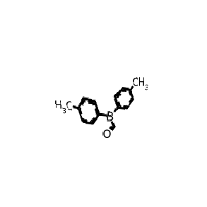 Cc1ccc(B(C=O)c2ccc(C)cc2)cc1